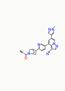 C#CC(=O)N1CC2CC1CC2c1ccc(-c2cc(-c3cnn(C)c3)cn3ncc(C#N)c23)cn1